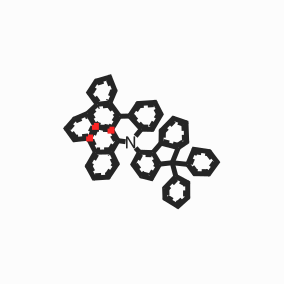 c1ccc(C2(c3ccccc3)c3ccccc3-c3c(N(c4ccccc4-c4cc5ccccc5c5ccccc45)c4cccc5ccccc45)cccc32)cc1